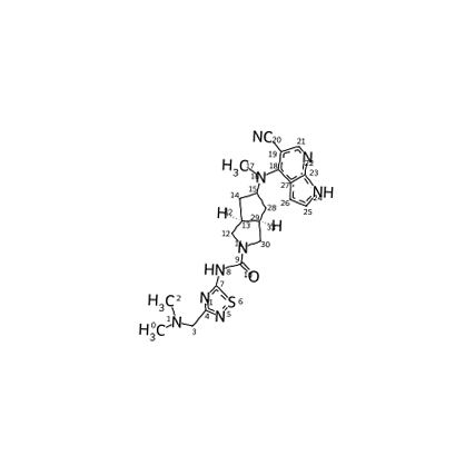 CN(C)Cc1nsc(NC(=O)N2C[C@H]3CC(N(C)c4c(C#N)cnc5[nH]ccc45)C[C@H]3C2)n1